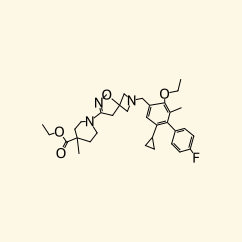 CCOC(=O)C1(C)CCN(C2=NOC3(C2)CN(Cc2cc(C4CC4)c(-c4ccc(F)cc4)c(C)c2OCC)C3)CC1